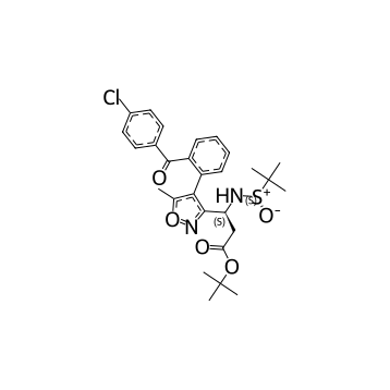 Cc1onc([C@H](CC(=O)OC(C)(C)C)N[S@+]([O-])C(C)(C)C)c1-c1ccccc1C(=O)c1ccc(Cl)cc1